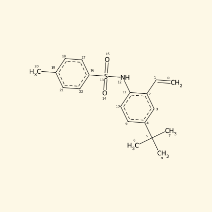 C=Cc1cc(C(C)(C)C)ccc1NS(=O)(=O)c1ccc(C)cc1